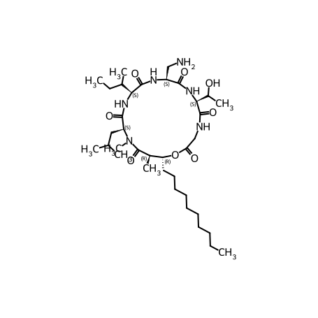 CCCCCCCCCC[C@H]1OC(=O)CNC(=O)[C@H](C(C)O)NC(=O)[C@H](CN)NC(=O)[C@H](C(C)CC)NC(=O)[C@H](CC(C)C)N(C)C(=O)[C@@H]1C